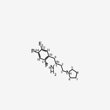 N[C@@H](CCN1CCCC1)Cc1cc(F)c(F)cc1F